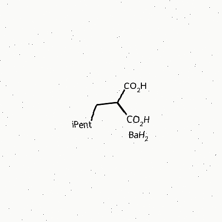 CCCC(C)CC(C(=O)O)C(=O)O.[BaH2]